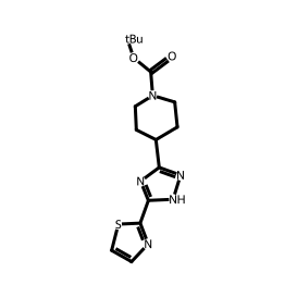 CC(C)(C)OC(=O)N1CCC(c2n[nH]c(-c3nccs3)n2)CC1